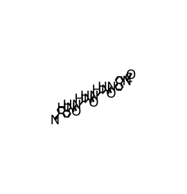 N#Cc1cccc2c(NC(=O)NCCCNC(=O)NCCCNC(=O)Nc3cccc4c(N=C=O)cccc34)cccc12